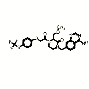 COCC1C(=O)N(Cc2ccc3c(N)ncnc3c2)CCN1C(=O)COc1ccc(SC(F)(F)F)cc1